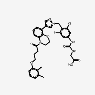 Cc1cccc(OCCCC(=O)N2CCOc3c(-c4cnn(Cc5c(F)cc(NC(=O)NCC(=O)O)cc5Cl)c4)cccc32)c1C